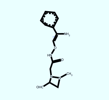 CN1CC(C=O)N1CC(=O)NO/C=C(\N)c1ccccc1